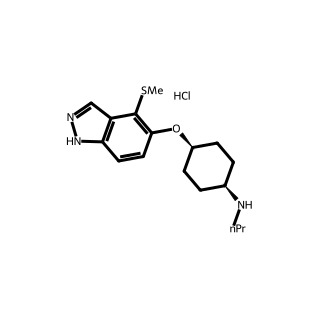 CCCN[C@H]1CC[C@@H](Oc2ccc3[nH]ncc3c2SC)CC1.Cl